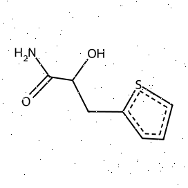 NC(=O)C(O)Cc1cccs1